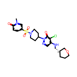 Cn1cc(S(=O)(=O)N2CCC(n3ncc(NC[C@H]4CCCOC4)c(Cl)c3=O)CC2)ccc1=O